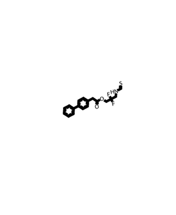 O=C(Cc1ccc(-c2ccccc2)cc1)OCC(F)(F)CNC=S